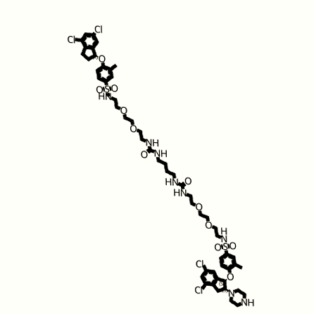 Cc1cc(S(=O)(=O)NCCOCCOCCNC(=O)NCCCCNC(=O)NCCOCCOCCNS(=O)(=O)c2ccc(O[C@H]3c4cc(Cl)cc(Cl)c4C[C@@H]3N3CCNCC3)c(C)c2)ccc1O[C@@H]1CCc2c(Cl)cc(Cl)cc21